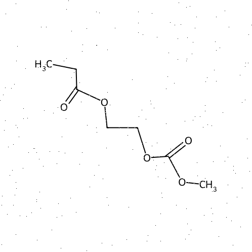 CCC(=O)OCCOC(=O)OC